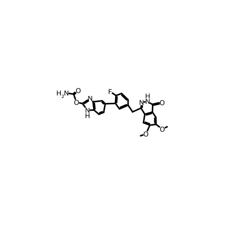 COc1cc2c(Cc3ccc(F)c(-c4ccc5[nH]c(OC(N)=O)nc5c4)c3)n[nH]c(=O)c2cc1OC